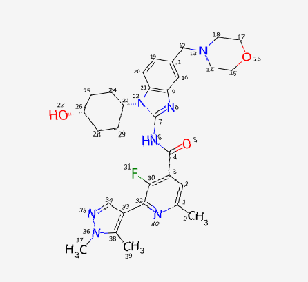 Cc1cc(C(=O)Nc2nc3cc(CN4CCOCC4)ccc3n2[C@H]2CC[C@@H](O)CC2)c(F)c(-c2cnn(C)c2C)n1